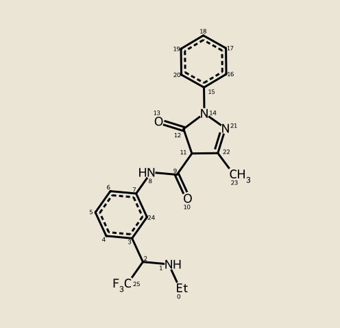 CCNC(c1cccc(NC(=O)C2C(=O)N(c3ccccc3)N=C2C)c1)C(F)(F)F